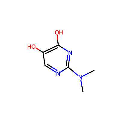 CN(C)c1ncc(O)c(O)n1